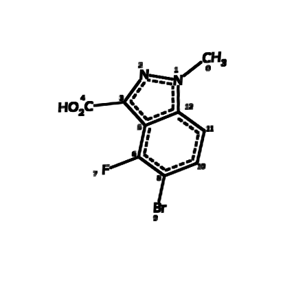 Cn1nc(C(=O)O)c2c(F)c(Br)ccc21